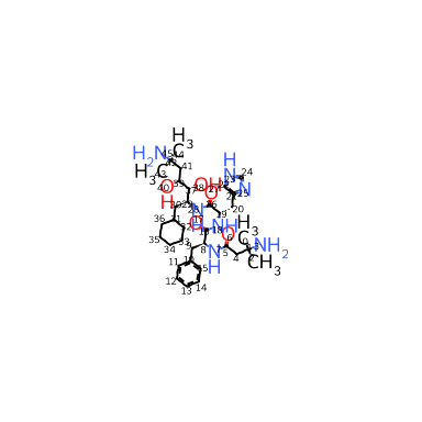 CC(C)(N)CC(=O)N[C@@H](Cc1ccccc1)C(=O)N[C@@H](Cc1c[nH]cn1)C(=O)N[C@@H](CC1CCCCC1)[C@@H](O)[C@@H](O)CC(C)(C)N